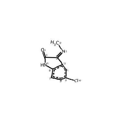 C/N=C1\C(=O)Nc2ccc(Cl)cc21